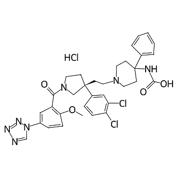 COc1ccc(-n2cnnn2)cc1C(=O)N1CC[C@](CCN2CCC(NC(=O)O)(c3ccccc3)CC2)(c2ccc(Cl)c(Cl)c2)C1.Cl